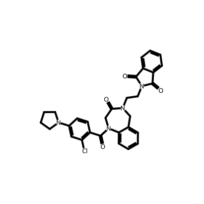 O=C1CN(C(=O)c2ccc(N3CCCC3)cc2Cl)c2ccccc2CN1CCN1C(=O)c2ccccc2C1=O